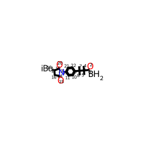 BC(=O)C(C)(C)C(C)(C)c1ccc(N2C(=O)CC(C(C)CC)C2=O)cc1